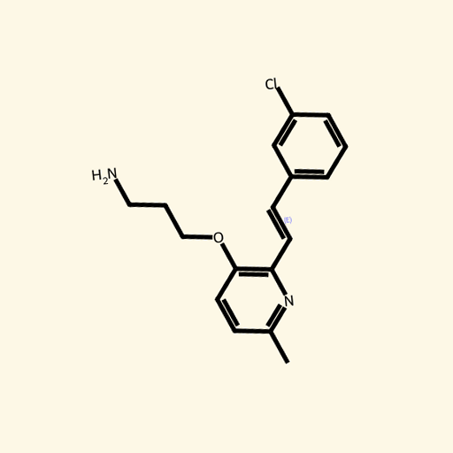 Cc1ccc(OCCCN)c(/C=C/c2cccc(Cl)c2)n1